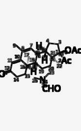 CC(=O)O[C@]1(C(C)=O)CC[C@H]2[C@@H]3C=C(C)C4=CC(=O)CC[C@]4(C)[C@H]3CC[C@@]21C.CN(C)C=O